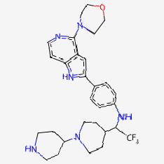 FC(F)(F)C(Nc1ccc(-c2cc3c(N4CCOCC4)nccc3[nH]2)cc1)C1CCN(C2CCNCC2)CC1